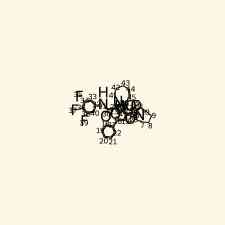 Cc1c(S(=O)(=O)N2C3CCC2CC(O)(c2cc(-c4ccccc4)on2)C3)c2n(c1C(=O)Nc1cc(F)c(F)c(F)c1)CCCC=C2